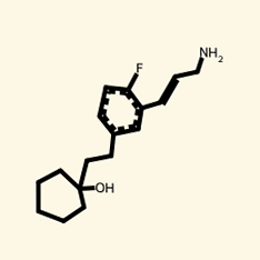 NC/C=C/c1cc(CCC2(O)CCCCC2)ccc1F